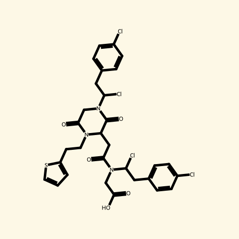 O=C(O)CN(C(=O)CC1C(=O)N(C(Cl)Cc2ccc(Cl)cc2)CC(=O)N1CCc1cccs1)C(Cl)Cc1ccc(Cl)cc1